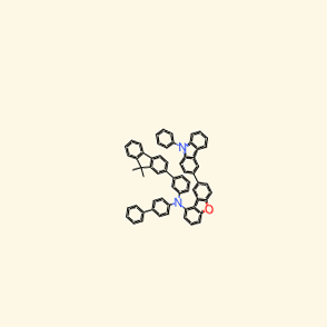 CC1(C)c2ccccc2-c2ccc(-c3cccc(N(c4ccc(-c5ccccc5)cc4)c4cccc5oc6ccc(-c7ccc8c(c7)c7ccccc7n8-c7ccccc7)cc6c45)c3)cc21